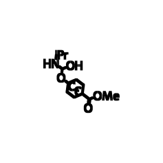 COC(=O)C12CCC(OC(O)NC(C)C)(CC1)CC2